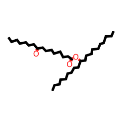 CCCCCCCCCCC(CCCCCCCCC)OC(=O)CCCCCCCC(=O)CCCCCCC